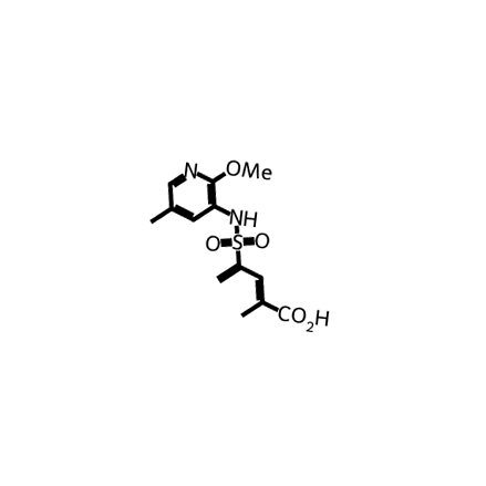 C=C(/C=C(\C)C(=O)O)S(=O)(=O)Nc1cc(C)cnc1OC